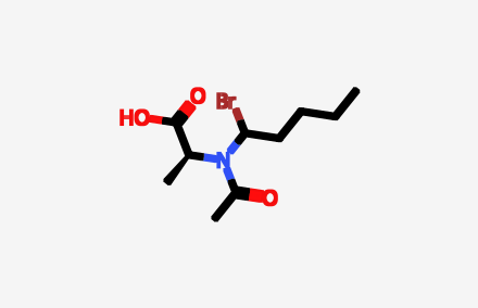 CCCCC(Br)N(C(C)=O)[C@@H](C)C(=O)O